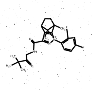 CC(C)(C)C(=O)CNC(=O)c1nn(-c2ccc(F)cc2F)c2c1C1CCC2(C)C1(C)C